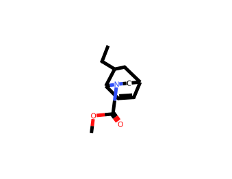 CCC1CC2C=CC1N(C(=O)OC)C2